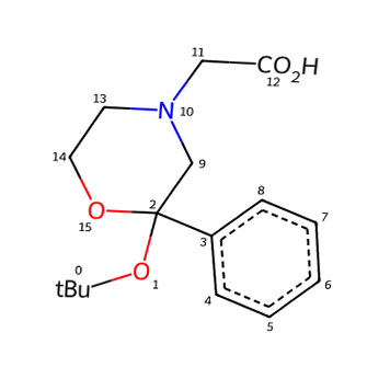 CC(C)(C)OC1(c2ccccc2)CN(CC(=O)O)CCO1